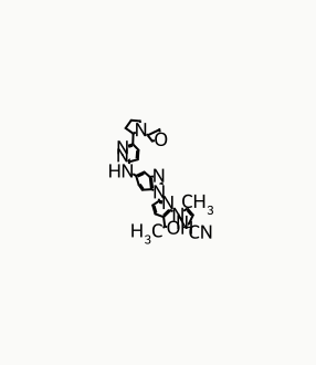 Cc1cc(C#N)nn1-c1nc(-n2cnc3cc(Nc4ccc(C5CCCN5C5COC5)nn4)ccc32)ccc1C(C)O